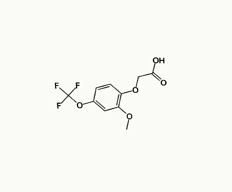 COc1cc(OC(F)(F)F)ccc1OCC(=O)O